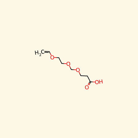 C=COCCOCOCCC(=O)O